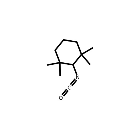 CC1(C)CCCC(C)(C)C1N=C=O